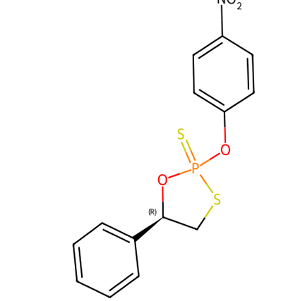 O=[N+]([O-])c1ccc(OP2(=S)O[C@H](c3ccccc3)CS2)cc1